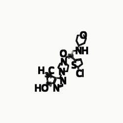 C[C@@H]1C[C@@H](O)c2ncnc(N3CCN(C(=O)[C@H](CNC4CCOCC4)C4=CCC(Cl)S4)CC3)c21